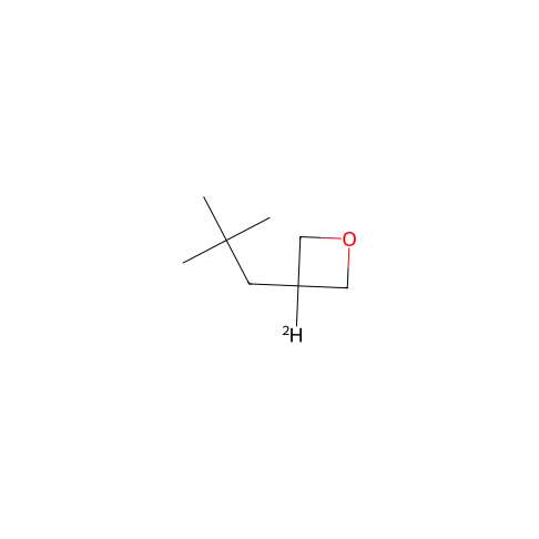 [2H]C1(CC(C)(C)C)COC1